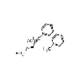 Cc1ccncc1.Cc1ccncc1.O=C(O)C=CC(=O)O